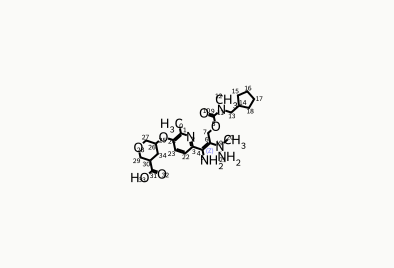 Cc1nc(/C(N)=C(\COC(=O)N(C)CC2CCCC2)N(C)N)ccc1OC1COCC(C(=O)O)C1